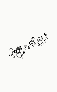 O=C1CSc2ccc(N3C[C@@H](CCCN[C@H]4Cn5c(=O)ccc6ccc(Br)c4c65)OC3=O)cc2N1